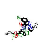 CCCC(F)OC(=O)CCC(CNC(=O)c1c(C)c(N2CCCC(CC)C2)nc2ccc(Br)cc12)c1c(Cl)ccc(Cl)c1Cl